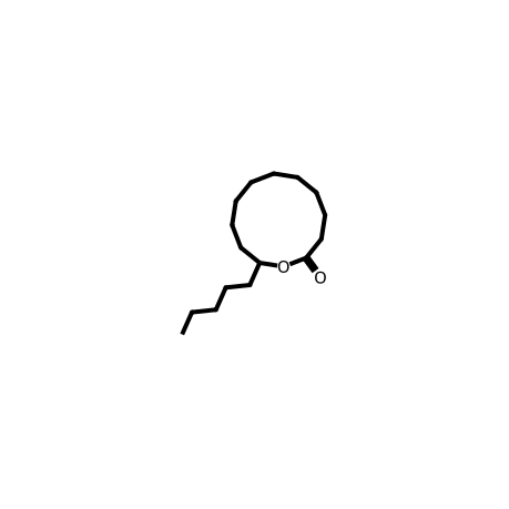 CCCCCC1CCCCCCCCCC(=O)O1